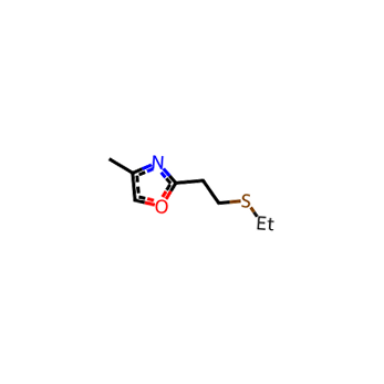 CCSCCc1nc(C)co1